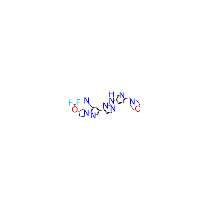 N#Cc1cc(-c2ccnc(Nc3ccc(CN4CCOCC4)nc3)n2)cnc1N1CCC(OC(F)F)C1